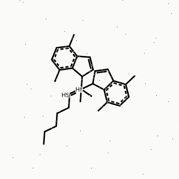 CCCCC[SiH]=[Hf]([CH3])([CH3])([CH]1C=Cc2c(C)ccc(C)c21)[CH]1C=Cc2c(C)ccc(C)c21